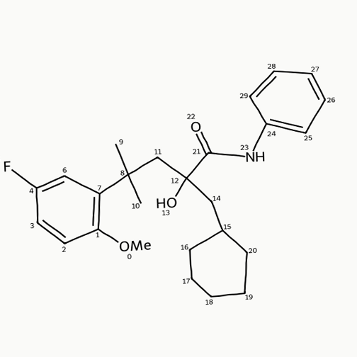 COc1ccc(F)cc1C(C)(C)CC(O)(CC1CCCCC1)C(=O)Nc1ccccc1